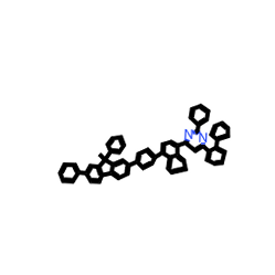 CC1(c2ccccc2)c2cc(-c3ccccc3)ccc2-c2ccc(-c3ccc(-c4ccc(-c5cc(-c6ccccc6-c6ccccc6)nc(-c6ccccc6)n5)c5ccccc45)cc3)cc21